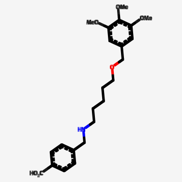 COc1cc(COCCCCCNCc2ccc(C(=O)O)cc2)cc(OC)c1OC